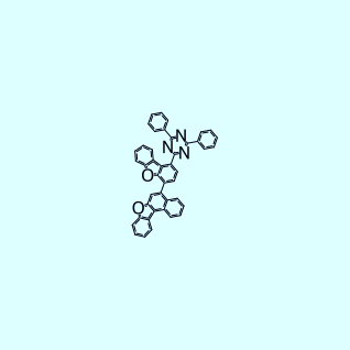 c1ccc(-c2nc(-c3ccccc3)nc(-c3ccc(-c4cc5oc6ccccc6c5c5ccccc45)c4oc5ccccc5c34)n2)cc1